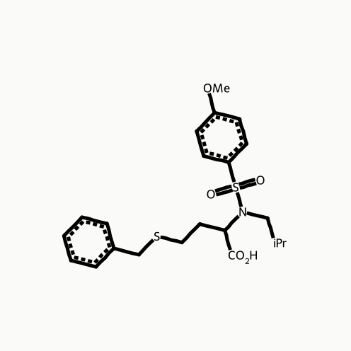 COc1ccc(S(=O)(=O)N(CC(C)C)C(CCSCc2ccccc2)C(=O)O)cc1